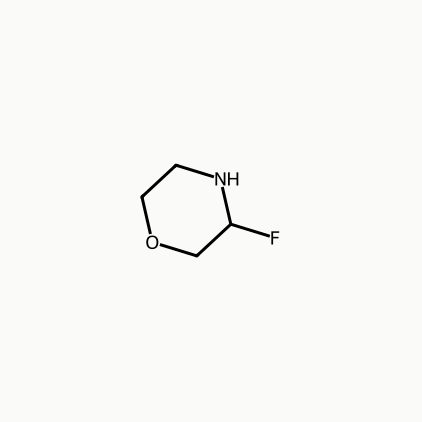 FC1COCCN1